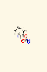 CNC(=O)OC1/C=C/CCCCC1